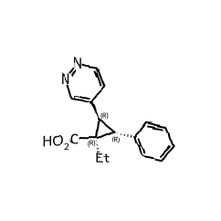 CC[C@@]1(C(=O)O)[C@@H](c2ccccc2)[C@@H]1c1ccnnc1